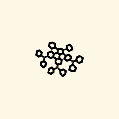 c1ccc(-c2cc(-c3ccccc3)c3c4ccc(N(c5ccccc5)c5ccccc5)cc4c4cc(N(c5ccccc5)c5ccccc5)ccc4c3c2-c2ccc(N(c3ccccc3)c3ccccc3)cc2)cc1